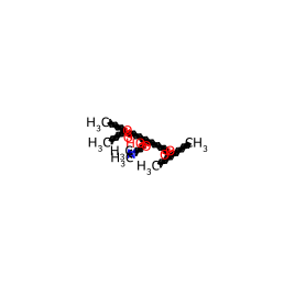 CCCCCCC(CCCCCC)OC(=O)CCCCCC(CCCCCC(=O)OC(CCCCCC)CCCCCC)OC(O)CCCN(C)C